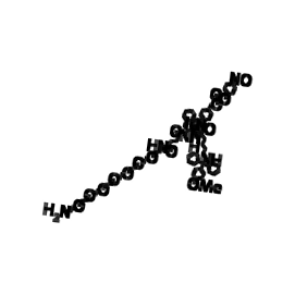 COc1ccc(C(NCCCCC(NC(=O)[C@H](Cc2ccccc2)NC(=O)CCC(=O)NCCOCCOCCOCCOCCOCCOCCOCCN)C(=O)Nc2ccc(COC(=O)Oc3ccc(N=O)cc3)cc2)(c2ccccc2)c2ccccc2)cc1